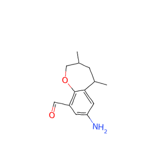 CC1COc2c(C=O)cc(N)cc2C(C)C1